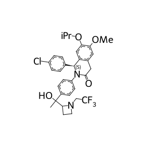 COc1cc2c(cc1OC(C)C)[C@H](c1ccc(Cl)cc1)N(c1ccc(C(C)(O)C3CCN3CC(F)(F)F)cc1)C(=O)C2